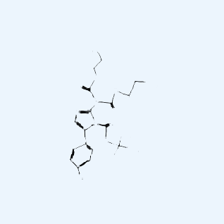 CCCOC(=O)N(C(=O)OCCC)c1ncc(-c2ccc(Br)cc2)n1C(=O)OC(C)(C)C